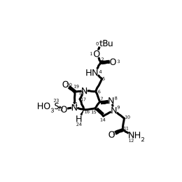 CC(C)(C)OC(=O)NCC1c2nn(CC(N)=O)cc2[C@H]2CN1C(=O)N2OS(=O)(=O)O